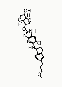 COCCCc1ccc2c(c1)CC[C@@H]2Nc1nc2nc(O[C@@H]3CO[C@H]4[C@@H]3OC[C@H]4O)[nH]c2cc1Cl